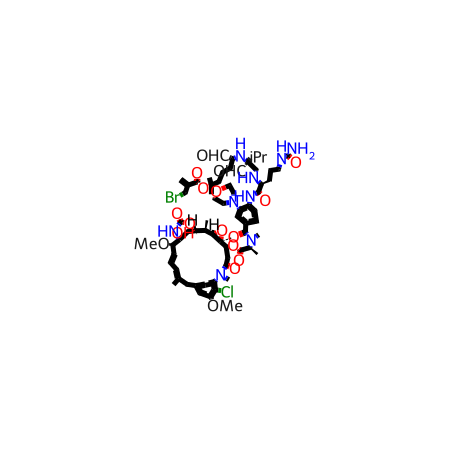 C=C(CBr)C(=O)OC(C)(C)CCCC(C=O)N[C@@](C=O)(CN[C@@H](CCCNC(N)=O)C(=O)Nc1ccc(C(=O)N(C)[C@@H](C)C(=O)O[C@H]2CC(=O)N(C)c3cc(cc(OC)c3Cl)C/C(C)=C/C=C/[C@@H](OC)[C@@]3(O)C[C@H](OC(=O)N3)[C@@H](C)[C@@H]3O[C@@]23C)cc1N1CCOCC1)C(C)C